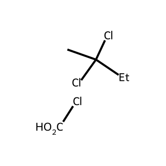 CCC(C)(Cl)Cl.O=C(O)Cl